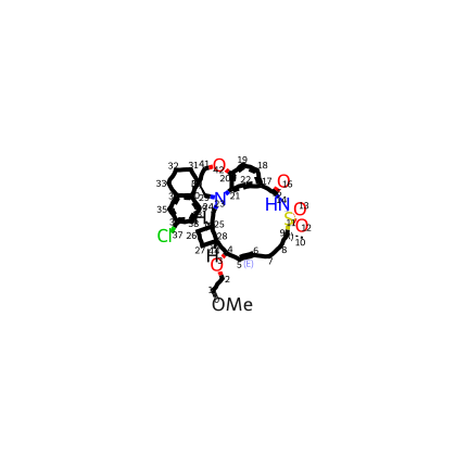 COCCOC1/C=C/CC[C@@H](C)S(=O)(=O)NC(=O)c2ccc3c(c2)N(C[C@@H]2CC[C@@H]12)C[C@@]1(CCCc2cc(Cl)ccc21)CO3